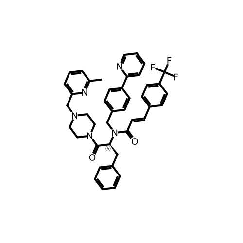 Cc1cccc(CN2CCN(C(=O)[C@H](Cc3ccccc3)N(Cc3ccc(-c4ccccn4)cc3)C(=O)C=Cc3ccc(C(F)(F)F)cc3)CC2)n1